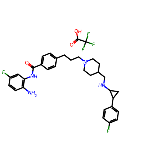 Nc1ccc(F)cc1NC(=O)c1ccc(CCCN2CCC(CNC3CC3c3ccc(F)cc3)CC2)cc1.O=C(O)C(F)(F)F